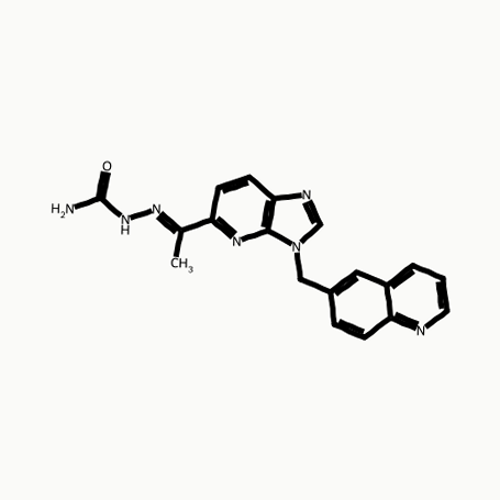 C/C(=N\NC(N)=O)c1ccc2ncn(Cc3ccc4ncccc4c3)c2n1